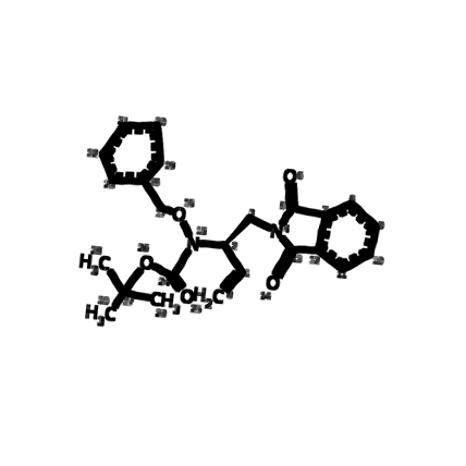 C=C[C@H](CN1C(=O)c2ccccc2C1=O)N(OCc1ccccc1)C(=O)OC(C)(C)C